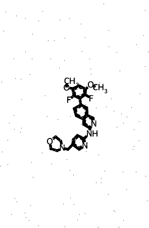 COc1cc(OC)c(F)c(-c2ccc3cc(Nc4ccc(CN5CCOCC5)cn4)ncc3c2)c1F